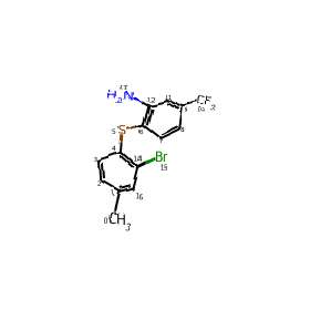 Cc1ccc(Sc2ccc(C(F)(F)F)cc2N)c(Br)c1